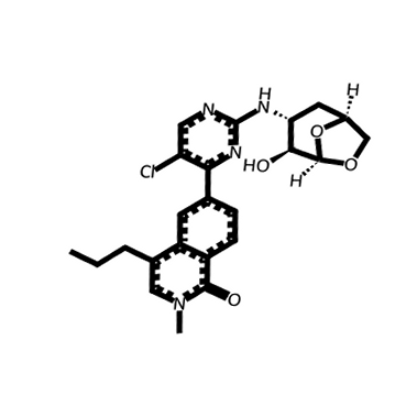 CCCc1cn(C)c(=O)c2ccc(-c3nc(N[C@@H]4C[C@H]5CO[C@H](O5)[C@H]4O)ncc3Cl)cc12